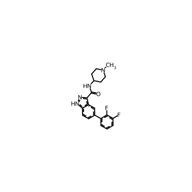 CN1CCC(NC(=O)c2n[nH]c3ccc(-c4cccc(F)c4F)cc23)CC1